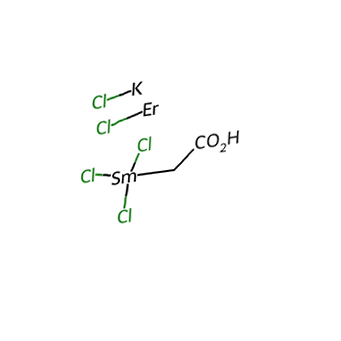 O=C(O)[CH2][Sm]([Cl])([Cl])[Cl].[Cl][Er].[Cl][K]